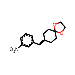 O=[N+]([O-])c1cccc(C=C2CCC3(CC2)OCCO3)c1